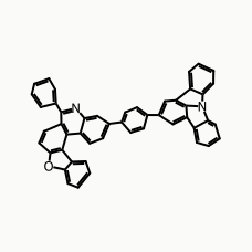 c1ccc(-c2nc3cc(-c4ccc(-c5cc6c7ccccc7n7c8ccccc8c(c5)c67)cc4)ccc3c3c2ccc2oc4ccccc4c23)cc1